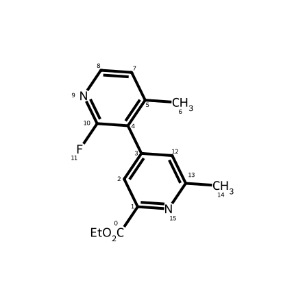 CCOC(=O)c1cc(-c2c(C)ccnc2F)cc(C)n1